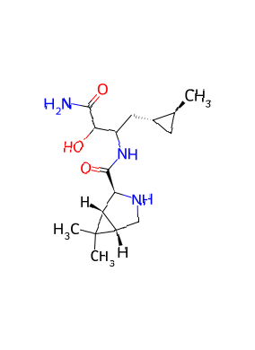 C[C@H]1C[C@@H]1CC(NC(=O)[C@H]1NC[C@H]2[C@@H]1C2(C)C)C(O)C(N)=O